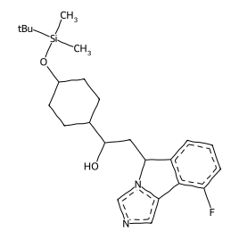 CC(C)(C)[Si](C)(C)OC1CCC(C(O)CC2c3cccc(F)c3-c3cncn32)CC1